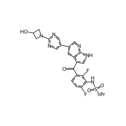 CCCS(=O)(=O)Nc1c(F)ccc(C(=O)c2c[nH]c3ncc(-c4cnc(N5CC(O)C5)nc4)cc23)c1F